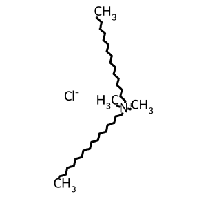 CCCCCCCCCCCCCCCCC[N+](CC)(CC)CCCCCCCCCCCCCCCCC.[Cl-]